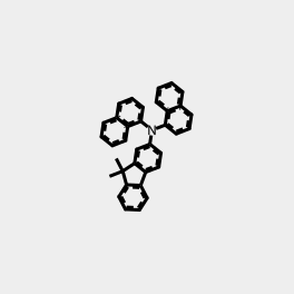 CC1(C)c2ccccc2-c2ccc(N(c3cccc4ccccc34)c3cccc4ccccc34)cc21